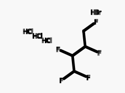 Br.Cl.Cl.Cl.FCC(F)C(F)C(F)F